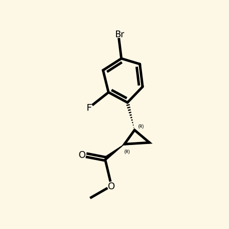 COC(=O)[C@@H]1C[C@H]1c1ccc(Br)cc1F